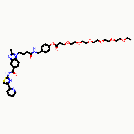 CCOCCOCCOCCOCCOCCOCCC(=O)Oc1ccc(CNC(=O)CCCn2c(C)nc3cc(C(=O)Nc4nc(-c5ccccn5)cs4)ccc32)cc1